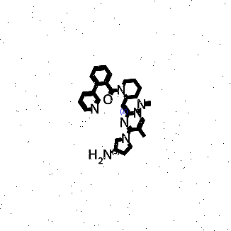 C=NN1C=C(C)C(N2CC[C@H](N)C2)=N/C1=C/C1CCCCN1C(=O)c1ccccc1-c1cccnc1